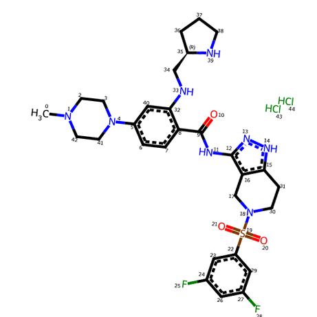 CN1CCN(c2ccc(C(=O)Nc3n[nH]c4c3CN(S(=O)(=O)c3cc(F)cc(F)c3)CC4)c(NC[C@H]3CCCN3)c2)CC1.Cl.Cl